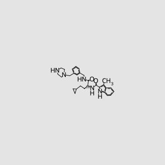 Cc1c(C(=O)N[C@@H](CCC2CC2)C(=O)NCc2cccc(CN3CCNCC3)c2)[nH]c2ccccc12